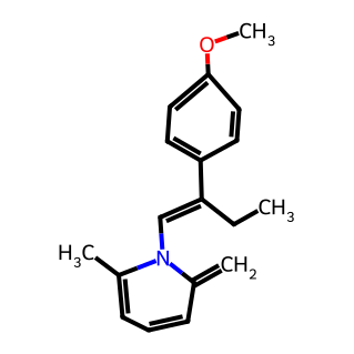 C=C1C=CC=C(C)N1/C=C(\CC)c1ccc(OC)cc1